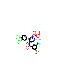 CN(C(=O)c1cc(Br)cc(C(F)(F)F)c1)[C@@H]1CCN(C(=O)O)C[C@H]1c1ccc(Cl)c(Cl)c1